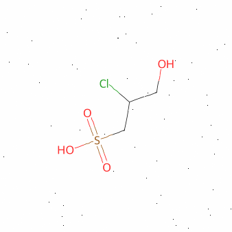 O=S(=O)(O)CC(Cl)CO